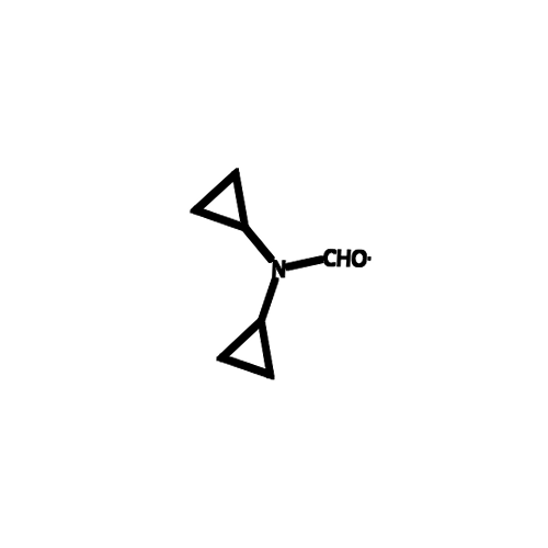 O=[C]N(C1CC1)C1CC1